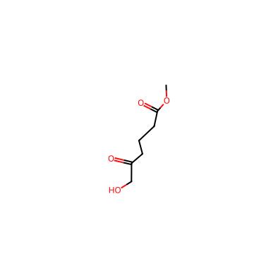 COC(=O)CCCC(=O)CO